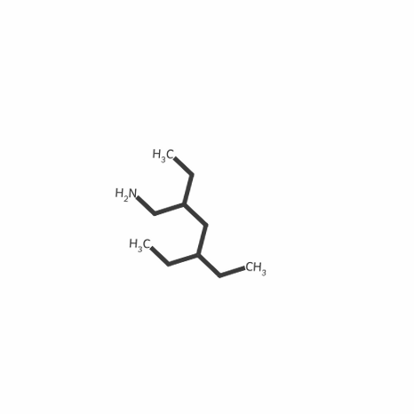 CCC(CC)CC(CC)CN